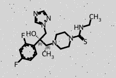 CCNC(=S)N1CCN([C@H](C)[C@](O)(Cn2cncn2)c2ccc(F)cc2F)CC1